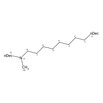 CCCCCCCCCCCCCCCCCCN(C)CCCCCCCCCC